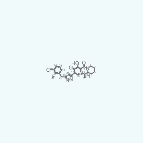 C=C1[C@H]2CCCCN2C(=O)c2c(O)c(=O)c(-c3nnc(Cc4cccc(Cl)c4F)s3)cn21